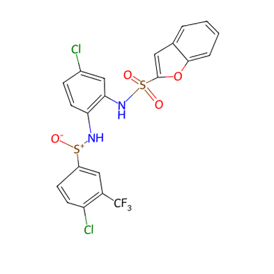 O=S(=O)(Nc1cc(Cl)ccc1N[S+]([O-])c1ccc(Cl)c(C(F)(F)F)c1)c1cc2ccccc2o1